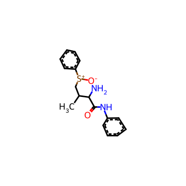 CC(C[S+]([O-])c1ccccc1)C(N)C(=O)Nc1ccccc1